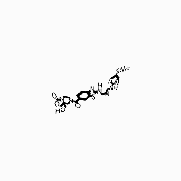 CSc1cnc(NC[C@H](C)CNc2nc3ccc(C(=O)N4CCN5C(=O)OCC5(CO)C4)cc3s2)nc1